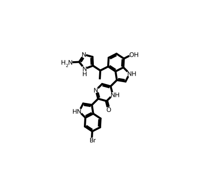 CC(c1cnc(N)[nH]1)c1ccc(O)c2[nH]cc(-c3cnc(-c4c[nH]c5cc(Br)ccc45)c(=O)[nH]3)c12